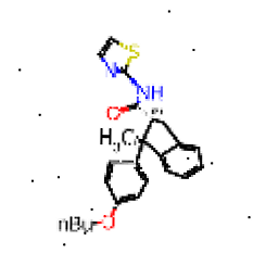 CCCCOc1ccc([C@@]2(C)c3ccccc3C[C@H]2C(=O)Nc2nccs2)cc1